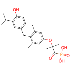 Cc1cc(OC(C)(C)C(=O)P(=O)(O)O)cc(C)c1Cc1ccc(O)c(C(C)C)c1